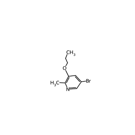 CCCOc1cc(Br)cnc1C